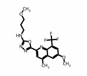 COCCCNc1nnc(-c2cc(C)c3cc(OC)cc(C(F)(F)F)c3n2)o1